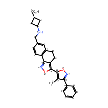 O=C(O)[C@H]1C[C@@H](NCc2ccc3c(c2)CCc2c-3noc2-c2onc(-c3ccccc3)c2C(F)(F)F)C1